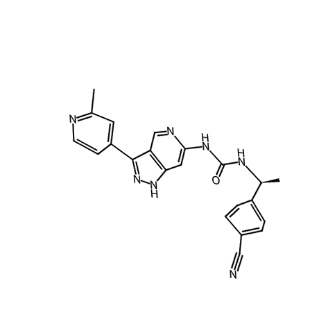 Cc1cc(-c2n[nH]c3cc(NC(=O)N[C@@H](C)c4ccc(C#N)cc4)ncc23)ccn1